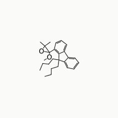 CCCCC1(CCCC)c2ccccc2-c2cccc(C3(OC)OC3(C)C)c21